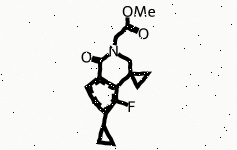 COC(=O)CN1CC2(CC2)c2c(ccc(C3CC3)c2F)C1=O